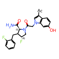 CC(=O)c1cn(CC(=O)N2C[C@H](F)C(Cc3ccccc3F)[C@H]2C(N)=O)c2cc(O)ccc12